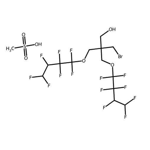 CS(=O)(=O)O.OCC(CBr)(COC(F)(F)C(F)(F)C(F)C(F)F)COC(F)(F)C(F)(F)C(F)C(F)F